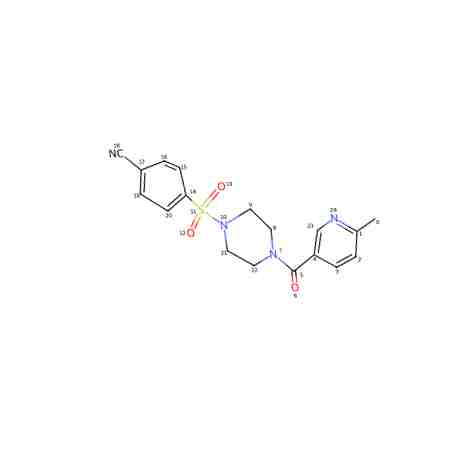 Cc1ccc(C(=O)N2CCN(S(=O)(=O)c3ccc(C#N)cc3)CC2)cn1